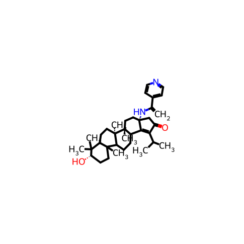 C=C(N[C@@]12CC[C@]3(C)C(CCC4C5(C)CC[C@H](O)C(C)(C)C5CC[C@]43C)C1=C(C(C)C)C(=O)C2)c1ccncc1